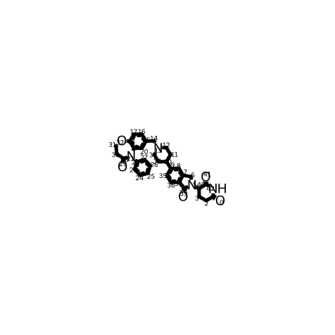 O=C1CCC(N2Cc3cc(C4CCN(Cc5ccc6c(c5)N(c5ccccc5)C(=O)CCO6)CC4)ccc3C2=O)C(=O)N1